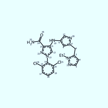 CCn1nccc1Cn1cc(Nc2cn(-c3c(Cl)cccc3Cl)nc2C(N)=O)cn1